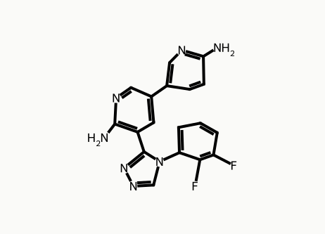 Nc1ccc(-c2cnc(N)c(-c3nncn3-c3cccc(F)c3F)c2)cn1